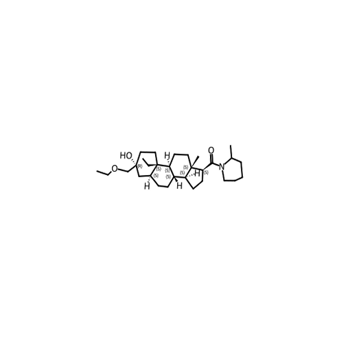 CCOC[C@@]1(O)CC[C@@]2(CC)[C@@H](CC[C@H]3[C@@H]4CC[C@H](C(=O)N5CCCCC5C)[C@@]4(C)CC[C@@H]32)C1